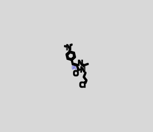 CC1=N/C(=C\c2ccc(N(C)C)cc2)C(=O)N1CCCCl